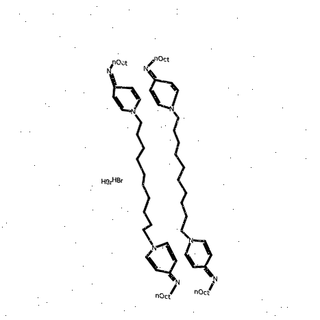 Br.Br.CCCCCCCCN=c1ccn(CCCCCCCCCCn2ccc(=NCCCCCCCC)cc2)cc1.CCCCCCCCN=c1ccn(CCCCCCCCCCn2ccc(=NCCCCCCCC)cc2)cc1